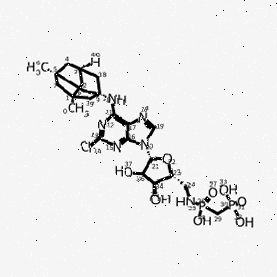 C[C@]12C[C@@H]3C[C@](C)(C1)C[C@@](Nc1nc(Cl)nc4c1ncn4[C@@H]1O[C@H](CNP(=O)(O)CP(=O)(O)O)C(O)C1O)(C3)C2